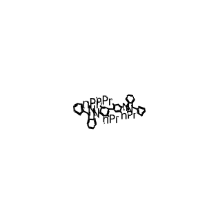 CCCc1cc(-n2nc(-c3ccccc3)c3ccccc32)c(CCC)cc1-c1cc(CCC)c(-n2nc(-c3ccccc3)c3ccccc32)cc1CCC